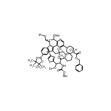 CCOC(c1nc(Br)cs1)C(NC(=O)OC(C)(C)C)C(=O)N1CCC[C@@H](C(=O)O)N1CC(C)(C)Cc1c(-c2cc(N3CCN(C(=O)OCc4ccccc4)CC3)cnc2C(C)OC)n(CCOC(C)C)c2ccc(B3OC(C)(C)C(C)(C)O3)cc12